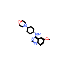 COc1ccc2ncnc(N[C@H]3CC[C@H](N4CCOCC4)CC3)c2c1